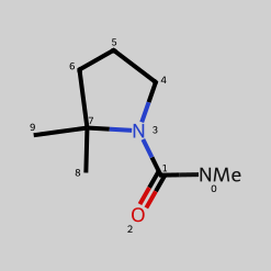 CNC(=O)N1CCCC1(C)C